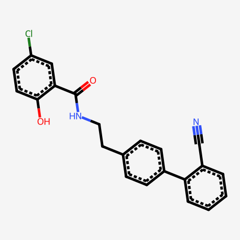 N#Cc1ccccc1-c1ccc(CCNC(=O)c2cc(Cl)ccc2O)cc1